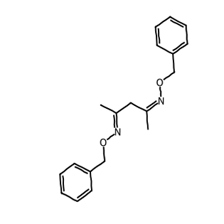 CC(CC(C)=NOCc1ccccc1)=NOCc1ccccc1